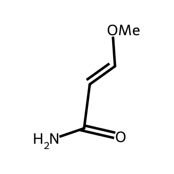 CO/C=C/C(N)=O